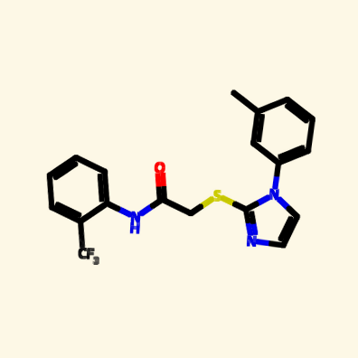 Cc1cccc(-n2ccnc2SCC(=O)Nc2ccccc2C(F)(F)F)c1